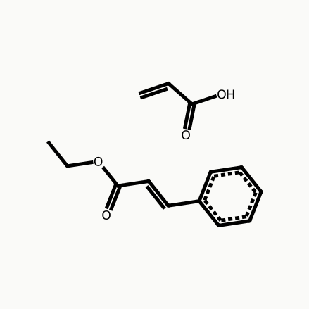 C=CC(=O)O.CCOC(=O)C=Cc1ccccc1